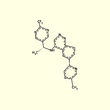 Cc1ccc(-c2ccc3nncc(N[C@H](C)c4cnc(C(F)(F)F)nc4)c3c2)nc1